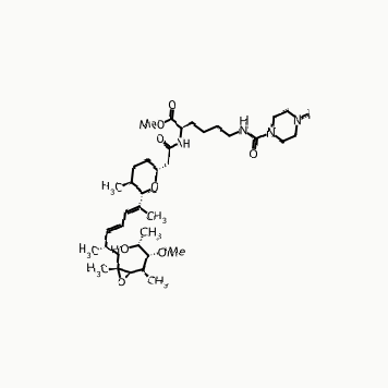 COC(=O)[C@@H](CCCCNC(=O)N1CCN(I)CC1)NC(=O)C[C@H]1CC[C@H](C)[C@@H](/C(C)=C/C=C/[C@@H](C)C[C@@]2(C)O[C@@H]2[C@H](C)[C@@H](OC)[C@@H](C)O)O1